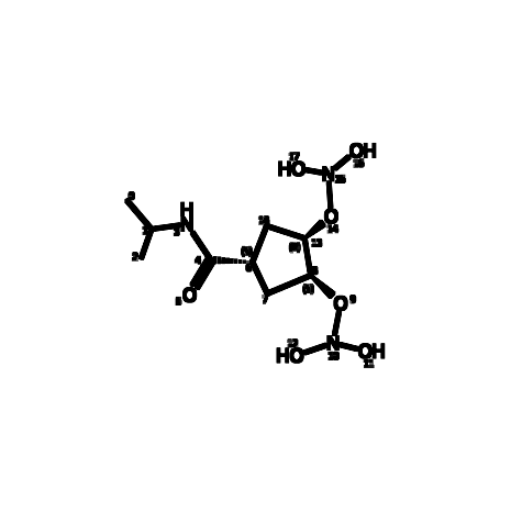 CC(C)NC(=O)[C@H]1C[C@H](ON(O)O)[C@H](ON(O)O)C1